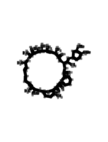 CO[C@H]1C[C@@H]2CC[C@@H](C)[C@@](O)(O2)C(=O)C(=O)N2CCCC[C@H]2C(=O)O[C@H]([C@H](C)C[C@@H]2CC[C@@H](OC)[C@H](OC)C2)CC(=O)[C@H](C)/C=C(\C)[C@@H](O)[C@@H](OC)C(=O)C(C)C[C@H](C)/C=C/C=C/C=C/1C